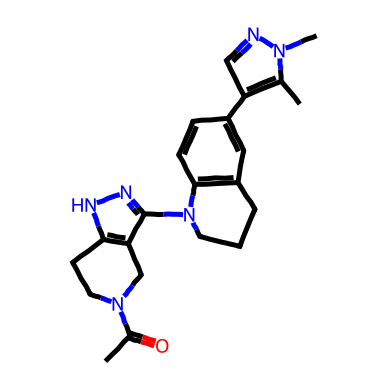 CC(=O)N1CCc2[nH]nc(N3CCCc4cc(-c5cnn(C)c5C)ccc43)c2C1